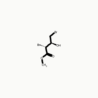 COC(=O)[C@H](Br)[C@H](O)CBr